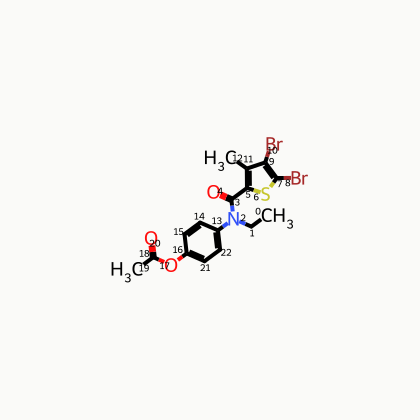 CCN(C(=O)c1sc(Br)c(Br)c1C)c1ccc(OC(C)=O)cc1